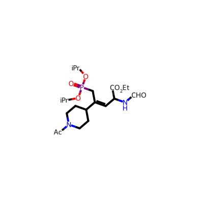 CCOC(=O)C(C=C(CP(=O)(OC(C)C)OC(C)C)C1CCN(C(C)=O)CC1)NC=O